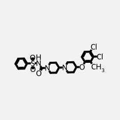 Cc1c(OC2CCN(C3CCN(C(=O)NS(=O)(=O)c4ccccc4)CC3)CC2)ccc(Cl)c1Cl